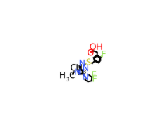 CC(C)n1cc(N2CCCC(F)(F)C2)c2nc(SCc3ccc(F)c(CC(=O)O)c3)ncc21